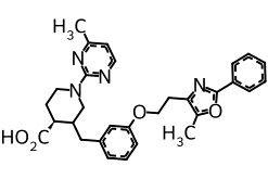 Cc1ccnc(N2CC[C@H](C(=O)O)C(Cc3cccc(OCCc4nc(-c5ccccc5)oc4C)c3)C2)n1